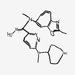 Cc1nc2ccc(N(C)/C(=N/O)c3ccc(N(C)C4CCNCC4)nn3)cc2o1